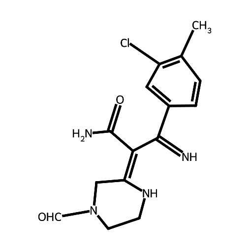 Cc1ccc(C(=N)/C(C(N)=O)=C2/CN(C=O)CCN2)cc1Cl